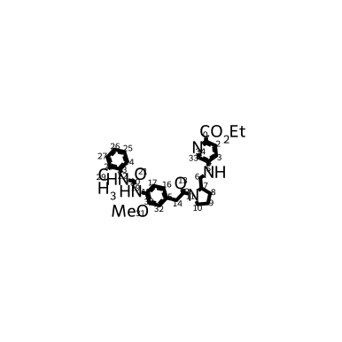 CCOC(=O)c1ccc(NCC2CCCN2C(=O)Cc2ccc(NC(=O)Nc3ccccc3C)c(OC)c2)cn1